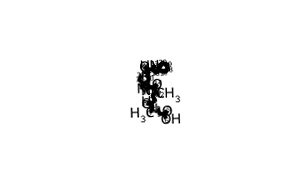 CN(CCC(=O)O)C(=O)CCN(C)C(=O)c1[nH]nc2c1CN(C(=O)c1cc3ccccc3[nH]1)CC2